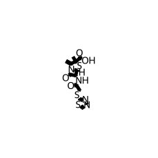 C=C1N2C(=O)C(NC(=O)CSc3nncs3)[C@H]2SC1(C)C(=O)O